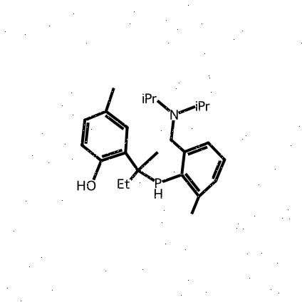 CCC(C)(Pc1c(C)cccc1CN(C(C)C)C(C)C)c1cc(C)ccc1O